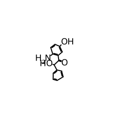 Nc1ccc(O)cc1C(=O)C(O)c1ccccc1